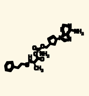 C[C@H](NOCCc1ccccc1)C(=O)OP(N)(=O)OC[C@H]1C=C[C@@H](n2cnc3c(N)ncnc32)C1